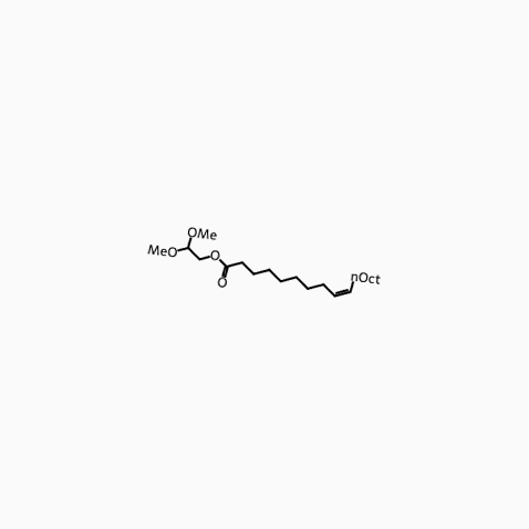 CCCCCCCC/C=C\CCCCCCCC(=O)OCC(OC)OC